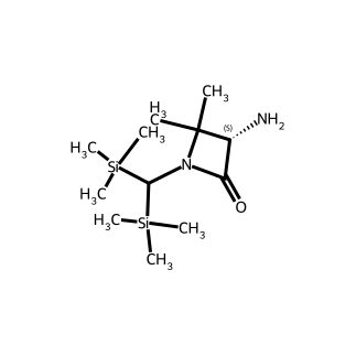 CC1(C)[C@H](N)C(=O)N1C([Si](C)(C)C)[Si](C)(C)C